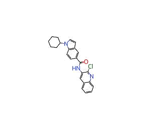 O=C(Nc1cc2ccccc2nc1Cl)c1ccc2c(ccn2C2CCCCC2)c1